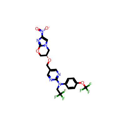 O=[N+]([O-])c1cn2c(n1)OC[C@@H](OCc1cnc(N(CC(F)(F)F)c3ccc(OC(F)(F)F)cc3)nc1)C2